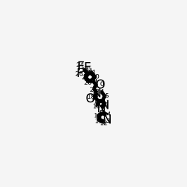 O=C(CN1CCc2nn(-c3cccnc3)cc2C1=O)c1ccc(C(F)(F)F)cc1